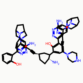 Nc1nnc(-c2ccccc2O)cc1N1CC2CCC(C1)N2c1ccnc(C#C[C@@H]2CC[C@@H](N)C(c3cccc(-c4cc(N5CC6CCC(C5)N6c5ccnc(C#CCN6CCNCC6)c5)c(N)nn4)c3O)C2)c1